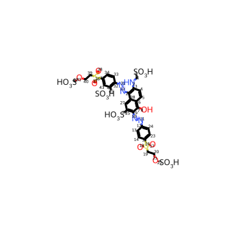 O=S(=O)(O)CNc1ccc2c(O)c(/N=N/c3ccc(S(=O)(=O)CCOS(=O)(=O)O)cc3)c(S(=O)(=O)O)cc2c1/N=N/c1ccc(S(=O)(=O)CCOS(=O)(=O)O)cc1S(=O)(=O)O